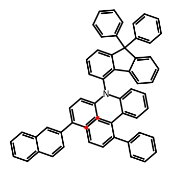 c1ccc(-c2ccccc2-c2ccccc2N(c2ccc(-c3ccc4ccccc4c3)cc2)c2cccc3c2-c2ccccc2C3(c2ccccc2)c2ccccc2)cc1